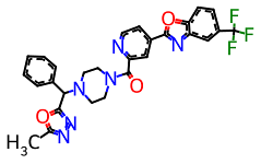 Cc1nnc(C(c2ccccc2)N2CCN(C(=O)c3cc(-c4nc5cc(C(F)(F)F)ccc5o4)ccn3)CC2)o1